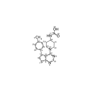 Cc1ccc(-c2csc3ncnc(N4CCC(NC(=O)O)CC4)c23)cc1